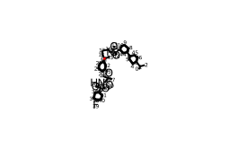 CC(C)c1ccc(-c2cccc(S(=O)(=O)N3CCCC(c4cccc(OC(C)(C)C(=O)NS(=O)(=O)c5ccc(F)cc5)c4)C3)c2)cc1